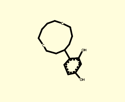 Oc1ccc(C2CCCCCCCCCCC2)c(O)c1